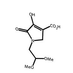 COC(CN1CC(C(=O)O)=C(O)C1=O)OC